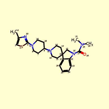 Cc1csc(N2CCC(N3CCC4(CC3)CN(C(=O)N(C)C)c3ccccc34)CC2)n1